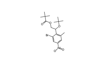 Cc1cc([N+](=O)[O-])cc(Br)c1C(COC(=O)C(C)(C)C)OC(C)(C)C